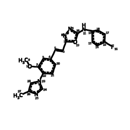 COc1cc(/C=C/c2nnc(Nc3ccc(F)cc3)o2)ccc1-n1cnc(C)c1